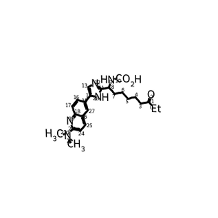 CCC(=O)CCCCCC(NC(=O)O)c1ncc(-c2ccc3nc(N(C)C)ccc3c2)[nH]1